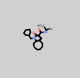 CCC(C)C(NC(=O)c1cc2c(n(CC3CCCCC3)c1=O)CCCCCC2)C(=O)O